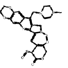 CN1CCN(Cc2c3c(nc4cc5c(cc24)OCCO5)-c2cc4c(osn2C3)COC(=O)C4N=O)CC1